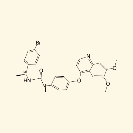 COc1cc2nccc(Oc3ccc(NC(=O)N[C@@H](C)c4ccc(Br)cc4)cc3)c2cc1OC